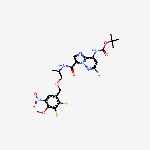 COc1c([N+](=O)[O-])cc(COCC(C)NC(=O)c2cnc3c(NC(=O)OC(C)(C)C)cc(Cl)nn23)c(F)c1F